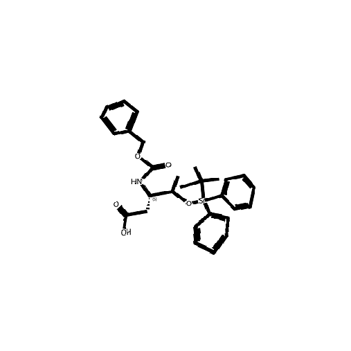 CC(O[Si](c1ccccc1)(c1ccccc1)C(C)(C)C)[C@H](CC(=O)O)NC(=O)OCc1ccccc1